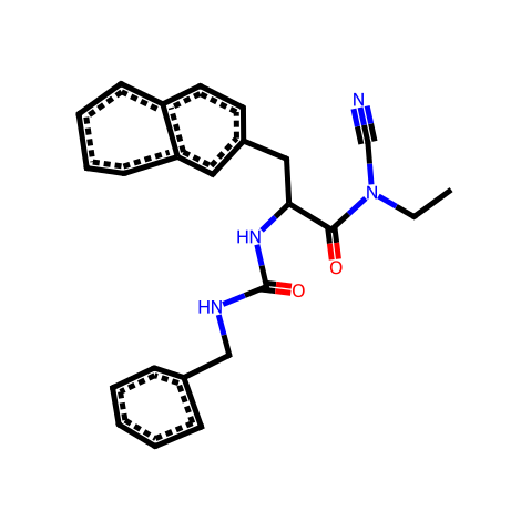 CCN(C#N)C(=O)C(Cc1ccc2ccccc2c1)NC(=O)NCc1ccccc1